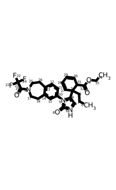 CCCC1(c2c[nH]c(=O)n2-c2ccc3c(c2)CCN(C(=O)C(F)(F)F)CC3)C=CC=CC1C(=O)OCC